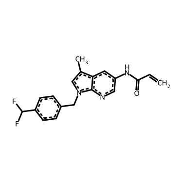 C=CC(=O)Nc1cnc2c(c1)c(C)cn2Cc1ccc(C(F)F)cc1